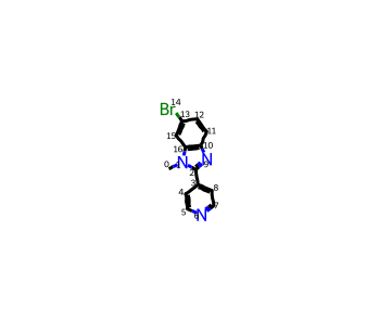 Cn1c(-c2ccncc2)nc2ccc(Br)cc21